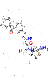 C=[N+](c1cc(CCc2cccc(C(=O)c3ccccc3)c2)no1)N1CCSC(N)C1